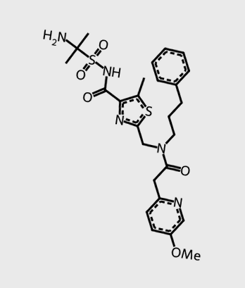 COc1ccc(CC(=O)N(CCCc2ccccc2)Cc2nc(C(=O)NS(=O)(=O)C(C)(C)N)c(C)s2)nc1